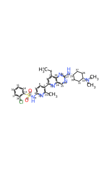 CCc1cc(-c2ccc(NS(=O)(=O)c3ccccc3Cl)nc2C)nc2cnc(N[C@H]3CC[C@H](N(C)C)CC3)nc12